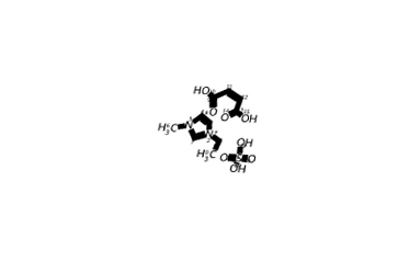 CC[n+]1ccn(C)c1.O=C(O)/C=C\C(=O)O.O=S(=O)(O)O